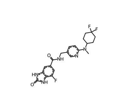 CN(c1ccc(CNC(=O)c2cc(F)c3[nH]c(=O)[nH]c3c2)cn1)C1CCC(F)(F)CC1